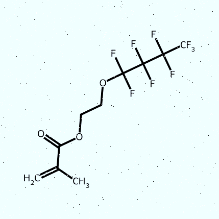 C=C(C)C(=O)OCCOC(F)(F)C(F)(F)C(F)(F)C(F)(F)F